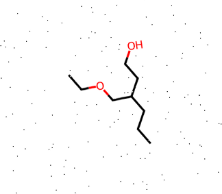 CCCC(CCO)COCC